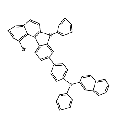 Brc1cccc2ccc3c(c4ccc(-c5ccc(N(c6ccccc6)c6ccc7ccccc7c6)cc5)cc4n3-c3ccccc3)c12